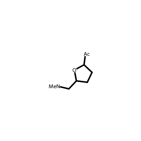 CNCC1CCC(C(C)=O)O1